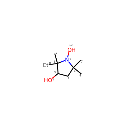 CCC1(C)C(O)CC(C)(C)N1O